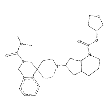 CN(C)C(=O)N1Cc2ccccc2C2(CCN(C3CC4CCCN(C(=O)O[C@@H]5CCOC5)C4C3)CC2)C1